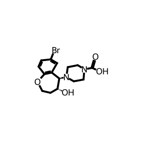 O=C(O)N1CCN([C@@H]2c3cc(Br)ccc3OCC[C@H]2O)CC1